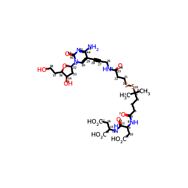 CC(C)(CCCC(=O)NC(CC(=O)O)C(=O)NC(CC(=O)O)C(=O)O)SSCCC(=O)NCC#Cc1cn(C2CC(O)C(CCO)O2)c(=O)nc1N